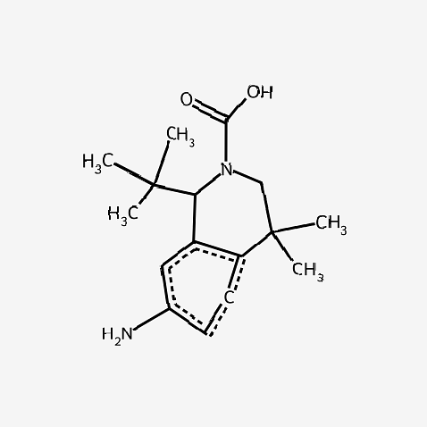 CC1(C)CN(C(=O)O)C(C(C)(C)C)c2cc(N)ccc21